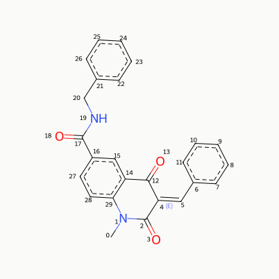 CN1C(=O)/C(=C/c2ccccc2)C(=O)c2cc(C(=O)NCc3ccccc3)ccc21